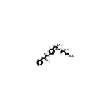 CSCC[C@H](N)C(=O)ON[C@@H](Cc1ccc(OC(=O)[C@@H](N)Cc2ccccc2)cc1)C(=O)O